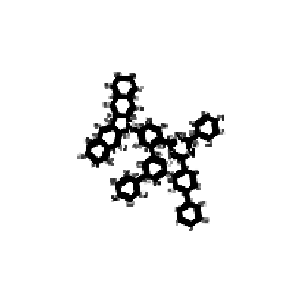 c1ccc(-c2ccc(-c3nc(-c4ccccc4)nc(-c4ccc(-n5c6cc7ccccc7cc6c6cc7ccccc7cc65)cc4-c4cccc(-c5ccccc5)c4)n3)cc2)cc1